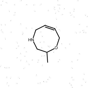 CC1CNC/C=C\CO1